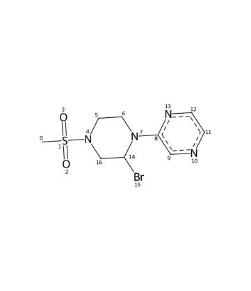 CS(=O)(=O)N1CCN(c2cnccn2)C(Br)C1